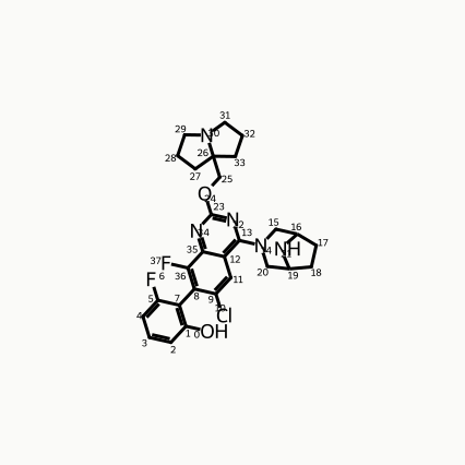 Oc1cccc(F)c1-c1c(Cl)cc2c(N3CC4CCC(C3)N4)nc(OCC34CCCN3CCC4)nc2c1F